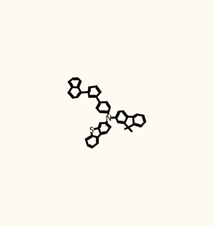 CC1(C)c2ccccc2-c2ccc(N(c3ccc(-c4cccc(-c5cccc6ccccc56)c4)cc3)c3ccc4c(c3)sc3ccccc34)cc21